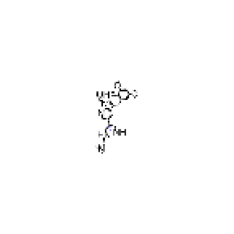 COc1cc(Cc2cn(CO)c3ncc(/C(C=N)=C/NCCN(C)C)cc23)c(F)c(OC)c1